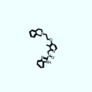 Cc1c(OCCN2CCc3ccccc3C2)ccnc1C[S+]([O-])c1nc2ccccc2[nH]1